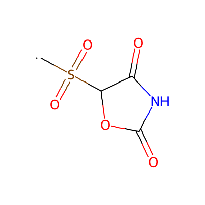 [CH2]S(=O)(=O)C1OC(=O)NC1=O